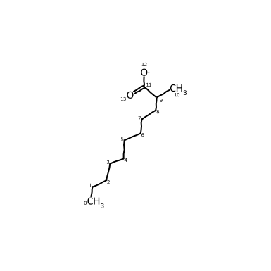 CCCCCCCCCC(C)C([O])=O